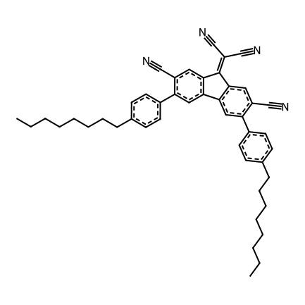 CCCCCCCCc1ccc(-c2cc3c(cc2C#N)C(=C(C#N)C#N)c2cc(C#N)c(-c4ccc(CCCCCCCC)cc4)cc2-3)cc1